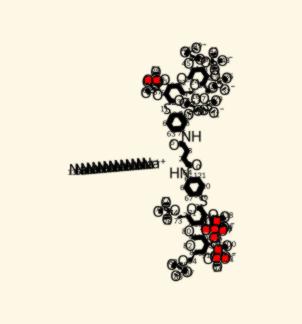 O=C(CCC(=O)Nc1ccc(S[C@@H]2O[C@H](COS(=O)(=O)[O-])[C@@H](O[C@H]3O[C@H](COS(=O)(=O)[O-])[C@@H](OS(=O)(=O)[O-])[C@H](OS(=O)(=O)[O-])[C@H]3OS(=O)(=O)[O-])[C@H](OS(=O)(=O)[O-])[C@H]2OS(=O)(=O)[O-])cc1)Nc1ccc(S[C@@H]2O[C@H](COS(=O)(=O)[O-])[C@@H](O[C@H]3O[C@H](COS(=O)(=O)[O-])[C@@H](OS(=O)(=O)[O-])[C@H](OS(=O)(=O)[O-])[C@H]3OS(=O)(=O)[O-])[C@H](OS(=O)(=O)[O-])[C@H]2OS(=O)(=O)[O-])cc1.[Na+].[Na+].[Na+].[Na+].[Na+].[Na+].[Na+].[Na+].[Na+].[Na+].[Na+].[Na+].[Na+].[Na+]